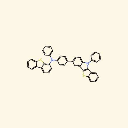 c1ccc(N(c2ccc(-c3ccc4c(c3)c3sc5ccccc5c3n4-c3ccccc3)cc2)c2cccc3c2sc2ccccc23)cc1